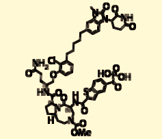 COC(=O)N1CC[C@H]2CC[C@@H](C(=O)N[C@@H](CCC(N)=O)COc3cccc(CCCCCc4ccc5c(c4)n(C)c(=O)n5C4CCC(=O)NC4=O)c3Cl)N2C(=O)[C@@H](NC(=O)c2cc3cc(C(=O)P(=O)(O)O)ccc3s2)C1